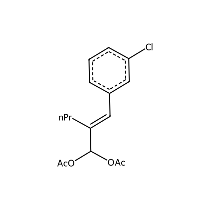 CCC/C(=C\c1cccc(Cl)c1)C(OC(C)=O)OC(C)=O